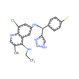 N#Cc1cnc2c(Cl)cc(N[C@@H](c3ccc(F)cc3)c3c[nH]nn3)cc2c1NCC(F)(F)F